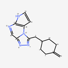 C=C1CCC(Cc2nnc3cnc4[nH]ccc4n23)CC1